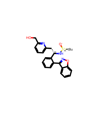 CC(C)(C)[S@+]([O-])N[C@@H](Cc1cccc(CO)n1)c1ccccc1-c1noc2ccccc12